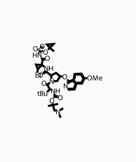 CCC1CC1(NC(=O)C1CC(Oc2nccc3cc(OC)ccc23)CN1C(=O)C(NC(=O)OC(C)(C)CN(C)C)C(C)(C)C)C(=O)NS(=O)(=O)OC1(C)CC1